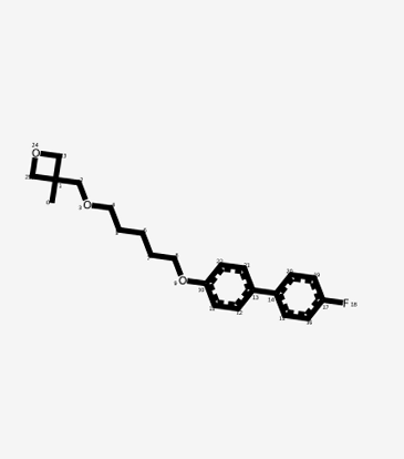 CC1(COCCCCCOc2ccc(-c3ccc(F)cc3)cc2)COC1